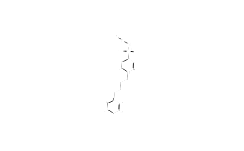 [N-]=[N+]=NS(=O)(=O)c1ccc(CCCCc2ccccc2)cc1